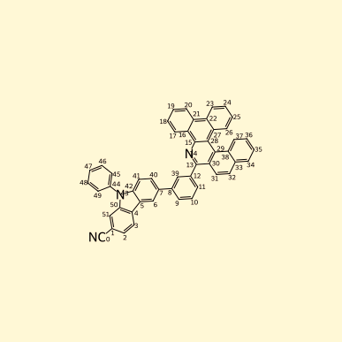 N#Cc1ccc2c3cc(-c4cccc(-c5nc6c7ccccc7c7ccccc7c6c6c5ccc5ccccc56)c4)ccc3n(-c3ccccc3)c2c1